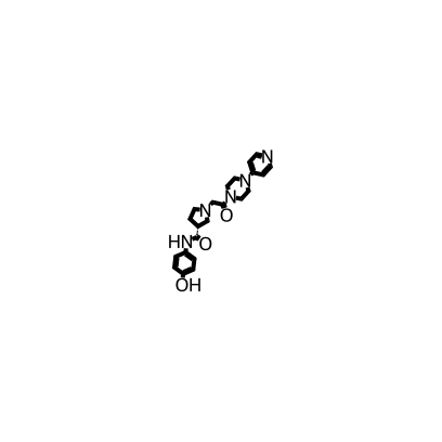 O=C(Nc1ccc(O)cc1)[C@@H]1CCN(CC(=O)N2CCN(c3ccncc3)CC2)C1